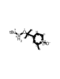 Cc1cc(C(C)(C)O[SiH2]C(C)(C)C)cc[n+]1[O-]